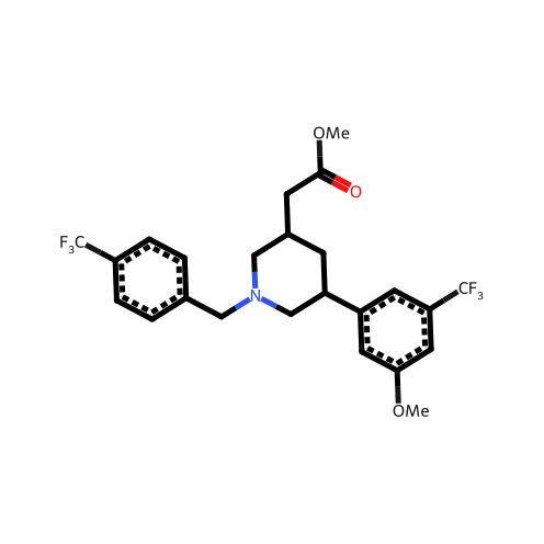 COC(=O)CC1CC(c2cc(OC)cc(C(F)(F)F)c2)CN(Cc2ccc(C(F)(F)F)cc2)C1